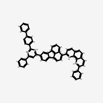 c1ccc(-c2ccc(-c3nc(-c4ccccc4)cc(-c4ccc5c(c4)-c4cccc6c(-c7ccc8ccc9ccc(-c%10ccccc%10)nc9c8n7)ccc-5c46)n3)cc2)cc1